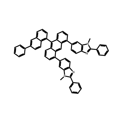 Cn1c(-c2ccccc2)nc2ccc(-c3cccc4c(-c5cccc6cc(-c7ccccc7)ccc56)c5cccc(-c6ccc7nc(-c8ccccc8)n(C)c7c6)c5cc34)cc21